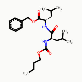 CCCCOC(=O)N[C@H](CC(C)C)C(=O)N[C@@H](CC(C)C)C(=O)OCc1ccccc1